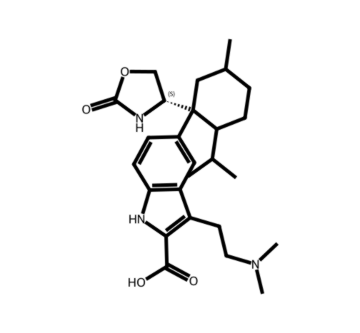 CC1CCC(C(C)C)C(c2ccc3[nH]c(C(=O)O)c(CCN(C)C)c3c2)([C@H]2COC(=O)N2)C1